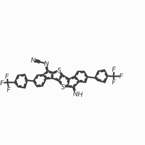 N#C/N=c1\c2cc(-c3ccc(C(F)(F)F)cc3)ccc2c2c1sc1c2sc2c(=N)c3cc(-c4ccc(C(F)(F)F)cc4)ccc3c21